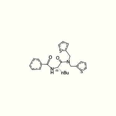 [CH2]CCC[C@H](NC(=O)c1ccccc1)C(=O)N(Cc1cccs1)Cc1cccs1